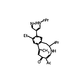 CCCN/C=C(\C=N)c1cc2c(cc1CC)/C(C)=C/C(=O)/C(C(C)=O)=C\NC(C(C)C)C2